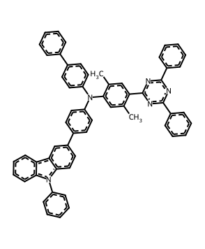 Cc1cc(N(c2ccc(-c3ccccc3)cc2)c2ccc(-c3ccc4c(c3)c3ccccc3n4-c3ccccc3)cc2)c(C)cc1-c1nc(-c2ccccc2)nc(-c2ccccc2)n1